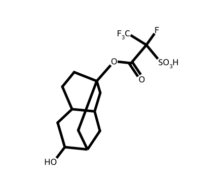 O=C(OC12CCC3CC(O)C(CC3C1)C2)C(F)(C(F)(F)F)S(=O)(=O)O